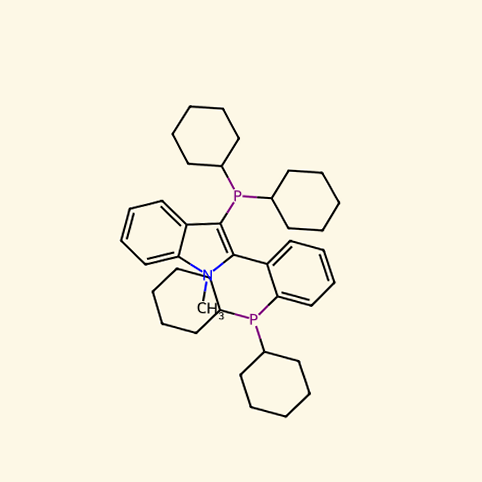 Cn1c(-c2ccccc2P(C2CCCCC2)C2CCCCC2)c(P(C2CCCCC2)C2CCCCC2)c2ccccc21